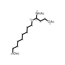 CCCCCCCCCCCCCCCCCCOC(CCOC(C)=O)NC(C)=O